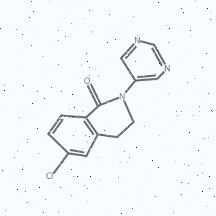 O=C1c2ccc(Cl)cc2CCN1c1cncnc1